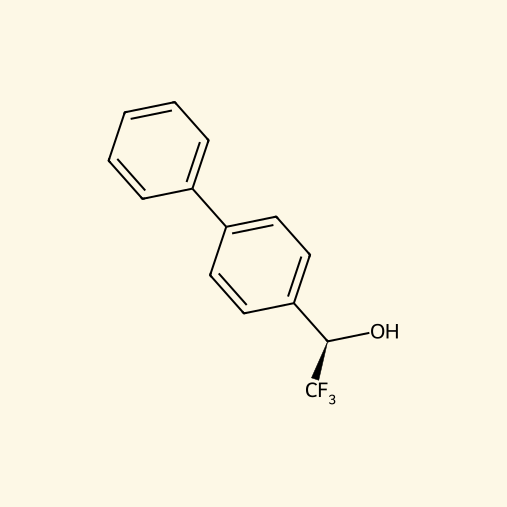 O[C@H](c1ccc(-c2ccccc2)cc1)C(F)(F)F